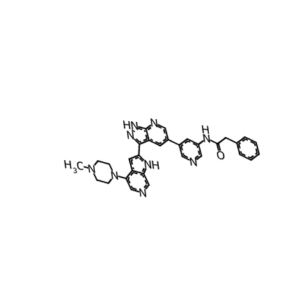 CN1CCN(c2cncc3[nH]c(-c4n[nH]c5ncc(-c6cncc(NC(=O)Cc7ccccc7)c6)cc45)cc23)CC1